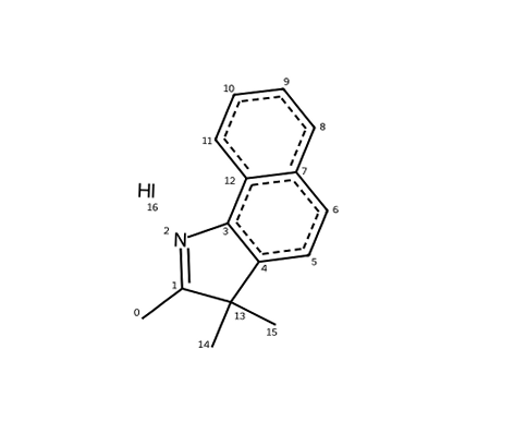 CC1=Nc2c(ccc3ccccc23)C1(C)C.I